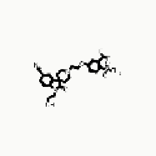 CS(=O)(=O)c1ccc(OCCN2CCC3(CC2)C(=O)N(CCO)c2ccc(C#N)cc23)cc1C(F)F